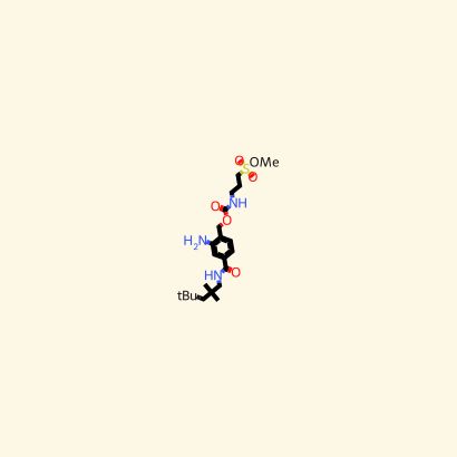 COS(=O)(=O)CCCNC(=O)OCc1ccc(C(=O)NCC(C)(C)CC(C)(C)C)cc1N